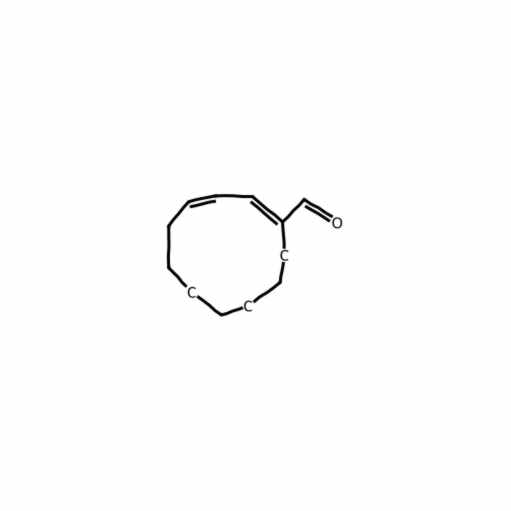 O=CC1=CC=CCCCCCCC1